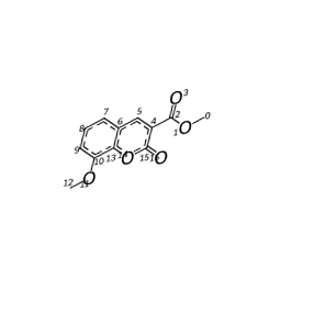 COC(=O)c1cc2cccc(OC)c2oc1=O